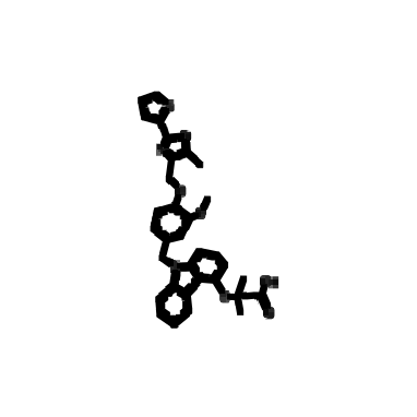 COc1cc(Cn2c3ccccc3c3c(OC(C)(C)C(=O)O)cccc32)ccc1OCc1nc(-c2cccs2)oc1C